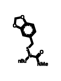 CCCCN(SCc1ccc2c(c1)OCO2)C(=O)NC